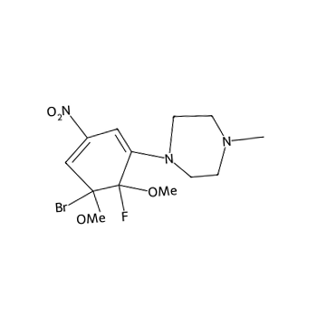 COC1(Br)C=C([N+](=O)[O-])C=C(N2CCN(C)CC2)C1(F)OC